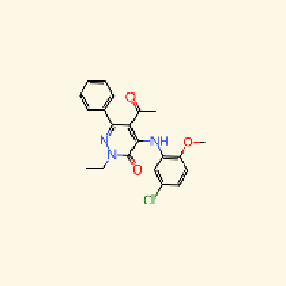 CCn1nc(-c2ccccc2)c(C(C)=O)c(Nc2cc(Cl)ccc2OC)c1=O